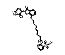 CC(C)S(=O)(=O)c1ccccc1NCCCCCCCCSc1cccc2c1CN(C1CCC(=O)NC1=O)C2=O